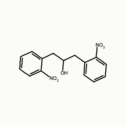 O=[N+]([O-])c1ccccc1C[C](O)Cc1ccccc1[N+](=O)[O-]